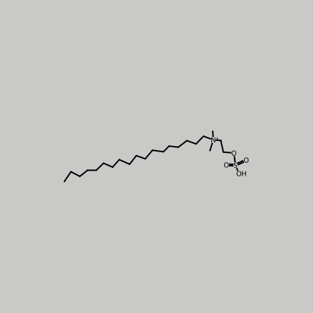 CCCCCCCCCCCCCCCCCC[N+](C)(C)CCOS(=O)(=O)O